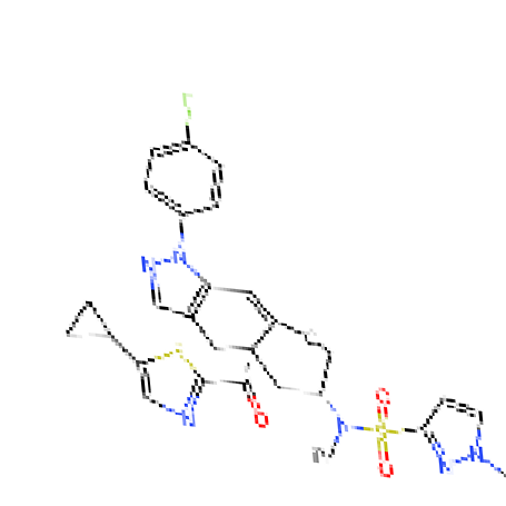 CC(C)N([C@H]1CCC2=Cc3c(cnn3-c3ccc(F)cc3)C[C@]2(C(=O)c2ncc(C3CC3)s2)C1)S(=O)(=O)c1ccn(C)n1